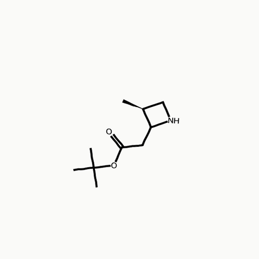 C[C@H]1CNC1CC(=O)OC(C)(C)C